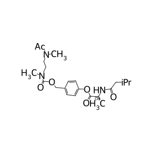 CC(=O)N(C)CCN(C)C(=O)OCc1ccc(OC(=O)[C@H](C)NC(=O)CC(C)C)cc1